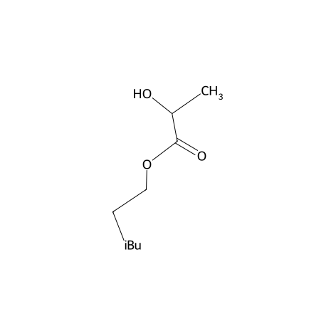 CCC(C)CCOC(=O)C(C)O